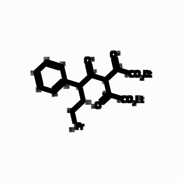 CCOC(=O)C(=O)C(C(=O)C(=O)OCC)C(=O)C(CCC(C)C)c1ccccc1